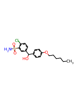 CCCCCCOc1ccc(C(O)c2ccc(Cl)c(S(N)(=O)=O)c2)cc1